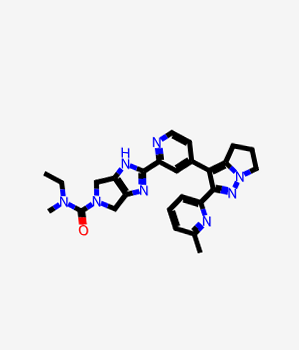 CCN(C)C(=O)N1Cc2nc(-c3cc(-c4c(-c5cccc(C)n5)nn5c4CCC5)ccn3)[nH]c2C1